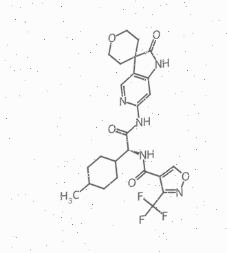 CC1CCC([C@H](NC(=O)c2conc2C(F)(F)F)C(=O)Nc2cc3c(cn2)C2(CCOCC2)C(=O)N3)CC1